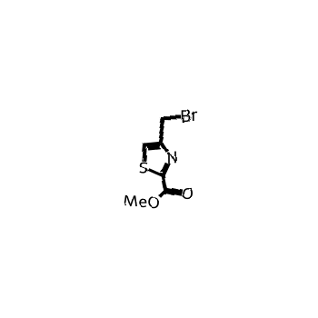 COC(=O)c1nc(CBr)cs1